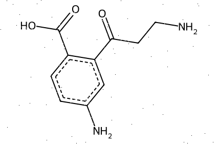 NCCC(=O)c1cc(N)ccc1C(=O)O